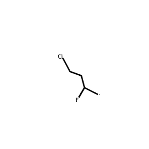 [CH2]C(F)CCCl